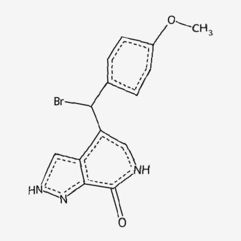 COc1ccc(C(Br)c2c[nH]c(=O)c3n[nH]cc23)cc1